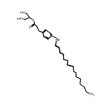 CCCCCCCCCCCCCCCCNc1ccc(CCC(=O)OC(CO)CO)cc1